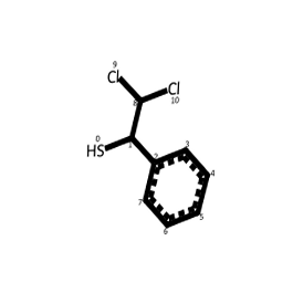 SC(c1ccccc1)C(Cl)Cl